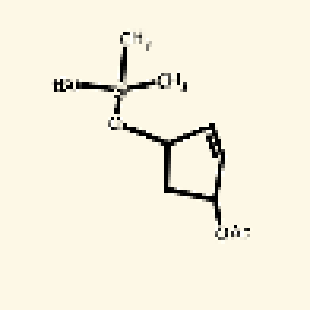 CC(=O)OC1C=CC(O[Si](C)(C)C(C)(C)C)C1